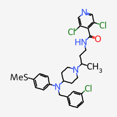 CSc1ccc(N(Cc2cccc(Cl)c2)C2CCN(C(C)CCNC(=O)c3c(Cl)cncc3Cl)CC2)cc1